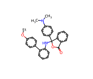 CCOc1ccc(-c2ccccc2NC2(c3ccc(N(C)C)cc3)OC(=O)c3ccccc32)cc1